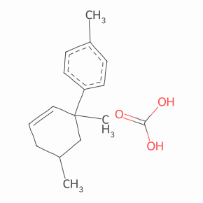 Cc1ccc(C2(C)C=CCC(C)C2)cc1.O=C(O)O